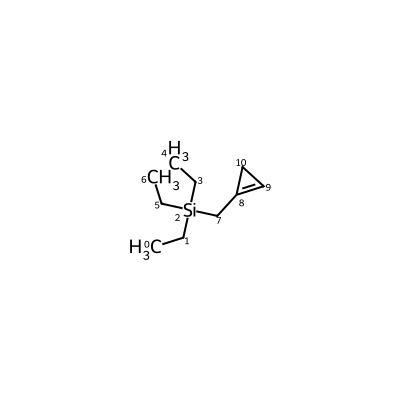 CC[Si](CC)(CC)CC1=CC1